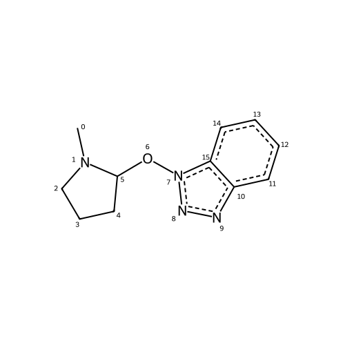 CN1CCCC1On1nnc2ccccc21